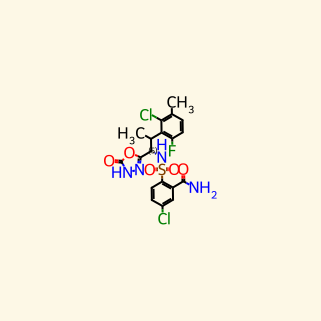 Cc1ccc(F)c(C(C)[C@H](NS(=O)(=O)c2ccc(Cl)cc2C(N)=O)c2n[nH]c(=O)o2)c1Cl